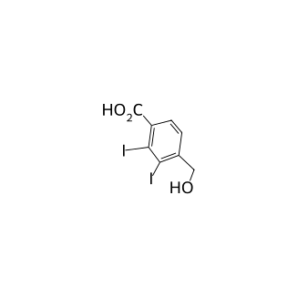 O=C(O)c1ccc(CO)c(I)c1I